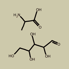 CC(N)C(=O)O.O=CC(O)C(O)C(O)CO